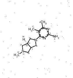 Cc1nc(N)nc(N2CC3CN(C)C[C@H]3C2)c1C